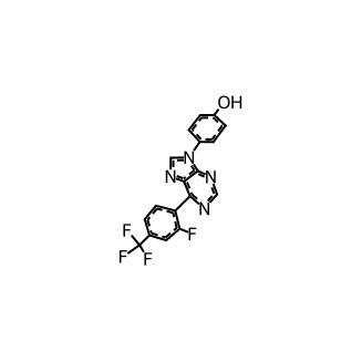 Oc1ccc(-n2cnc3c(-c4ccc(C(F)(F)F)cc4F)ncnc32)cc1